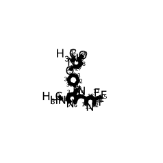 CNc1cc2c(cn1)c(-c1cncc(C(F)(F)F)c1)nn2[C@H]1CC[C@@H](Oc2ccc(=O)n(C)n2)CC1